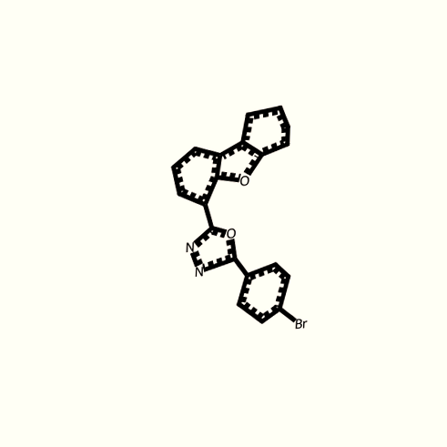 Brc1ccc(-c2nnc(-c3cccc4c3oc3ccccc34)o2)cc1